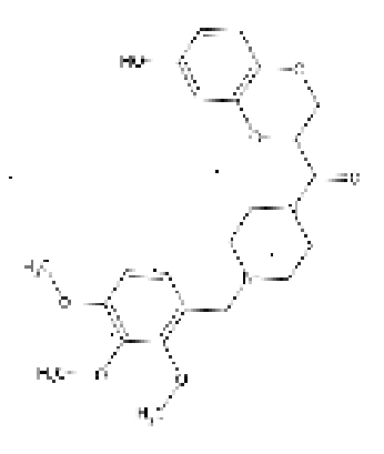 COc1ccc(CN2CCN(C(=O)C3COc4ccc(O)cc4O3)CC2)c(OC)c1OC